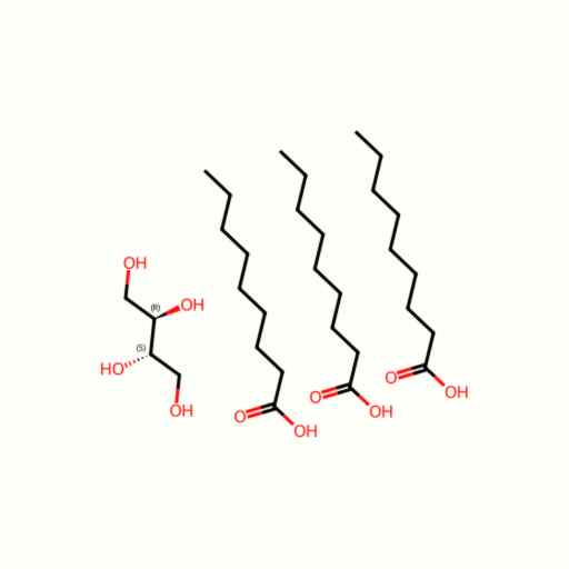 CCCCCCCCC(=O)O.CCCCCCCCC(=O)O.CCCCCCCCC(=O)O.OC[C@@H](O)[C@@H](O)CO